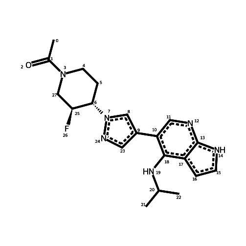 CC(=O)N1CC[C@H](n2cc(-c3cnc4[nH]ccc4c3NC(C)C)cn2)[C@@H](F)C1